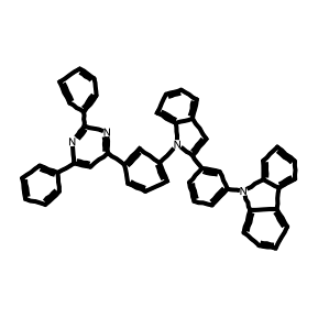 c1ccc(-c2cc(-c3cccc(-n4c(-c5cccc(-n6c7ccccc7c7ccccc76)c5)cc5ccccc54)c3)nc(-c3ccccc3)n2)cc1